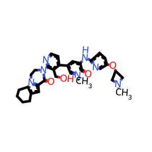 CN1CC(Oc2ccc(Nc3cc(-c4ccnc(N5CCn6c(cc7c6CCCC7)C5=O)c4CO)cn(C)c3=O)nc2)C1